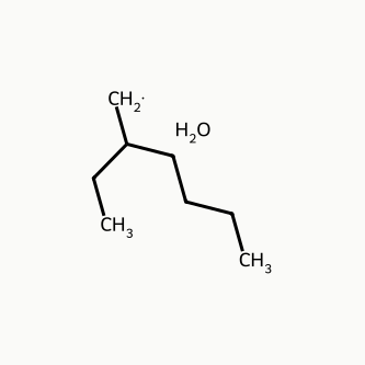 O.[CH2]C(CC)CCCC